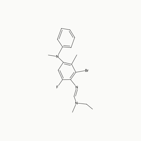 CCN(C)C=Nc1c(F)cc(N(C)c2ccccc2)c(C)c1Br